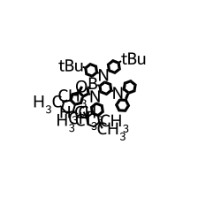 CC(C)(C)c1ccc(N2c3ccc(C(C)(C)C)cc3B3c4oc5cc6c(cc5c4N(c4ccc5c(c4)C(C)(C)CCC5(C)C)c4cc(-n5c7ccccc7c7ccccc75)cc2c43)C(C)(C)CCC6(C)C)cc1